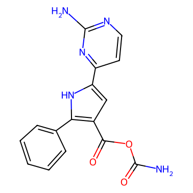 NC(=O)OC(=O)c1cc(-c2ccnc(N)n2)[nH]c1-c1ccccc1